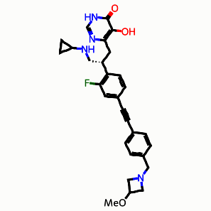 COC1CN(Cc2ccc(C#Cc3ccc([C@H](CNC4CC4)Cc4nc[nH]c(=O)c4O)c(F)c3)cc2)C1